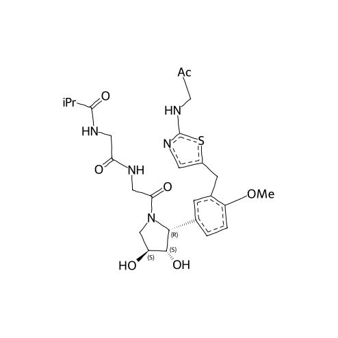 COc1ccc([C@@H]2[C@H](O)[C@@H](O)CN2C(=O)CNC(=O)CNC(=O)C(C)C)cc1Cc1cnc(NCC(C)=O)s1